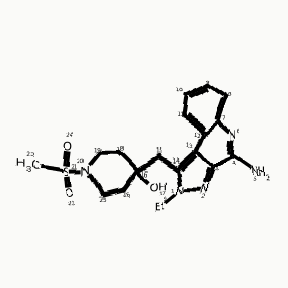 CCn1nc2c(N)nc3ccccc3c2c1CC1(O)CCN(S(C)(=O)=O)CC1